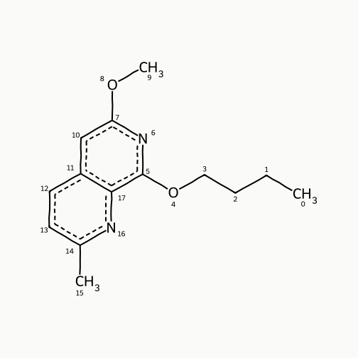 CCCCOc1nc(OC)cc2ccc(C)nc12